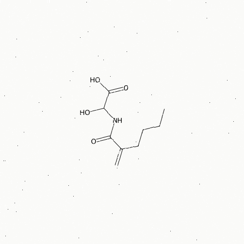 C=C(CCCC)C(=O)NC(O)C(=O)O